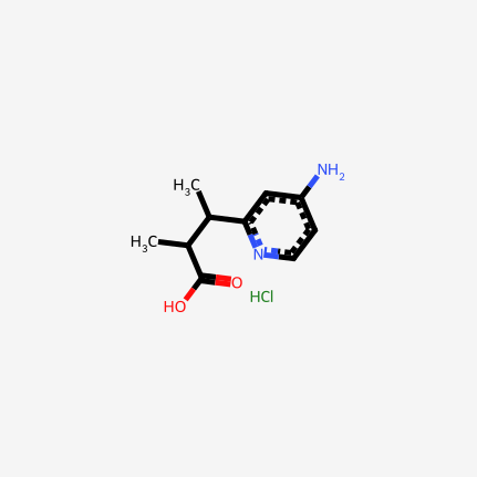 CC(C(=O)O)C(C)c1cc(N)ccn1.Cl